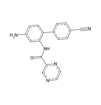 N#Cc1ccc(-c2ccc(N)cc2NC(=O)c2cnccn2)cc1